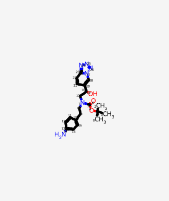 CC(C)(C)OC(=O)N(CCc1ccc(N)cc1)CC(O)c1ccc2nnnn2c1